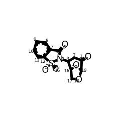 O=C1CC(N2C(=O)c3ccccc3S2(=O)=O)C2COC1O2